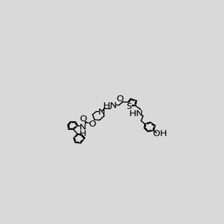 O=C(Nc1ccccc1-c1ccccc1)OC1CCN(CCNCC(=O)c2ccc(CNCCc3ccc(O)cc3)s2)CC1